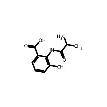 Cc1cccc(C(=O)O)c1NC(=O)C(C)C